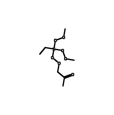 CC[Si](OOC)(OOC)OOCC(C)=O